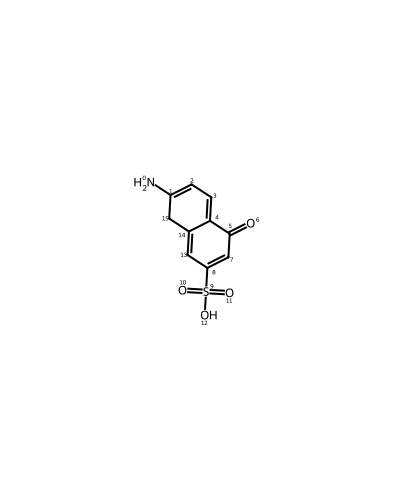 NC1=CC=C2C(=O)C=C(S(=O)(=O)O)C=C2C1